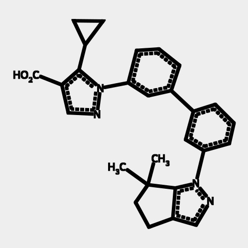 CC1(C)CCc2cnn(-c3cccc(-c4cccc(-n5ncc(C(=O)O)c5C5CC5)c4)c3)c21